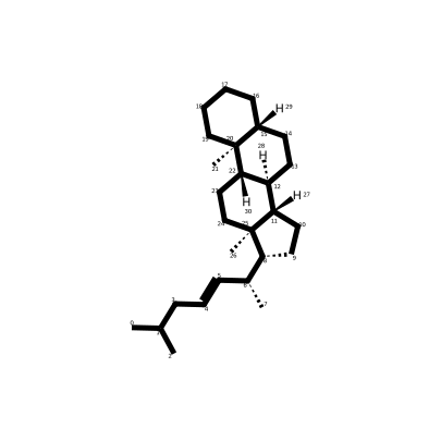 CC(C)C/C=C/[C@@H](C)[C@H]1CC[C@H]2[C@@H]3CC[C@H]4CCCC[C@]4(C)[C@H]3CC[C@]12C